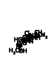 CCC(CC)Nc1nc(Cl)nc2c1ncn2[C@@H]1O[C@H](c2cc(C(C)O)no2)[C@@H](O)[C@H]1O